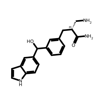 NC[C@@H](Cc1cccc(C(O)c2ccc3[nH]ccc3c2)c1)C(N)=O